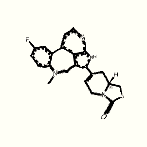 CN1Cc2c(C3=CCN4C(=O)OC[C@H]4C3)[nH]c3nccc(c23)-c2cc(F)ccc21